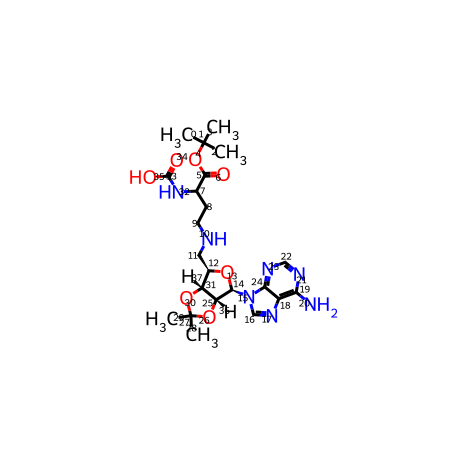 CC(C)(C)OC(=O)C(CCNC[C@H]1O[C@@H](n2cnc3c(N)ncnc32)[C@@H]2OC(C)(C)O[C@@H]21)NC(=O)O